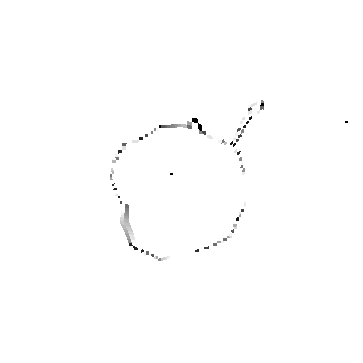 O=C1CCCCC/C=C/CCCO1